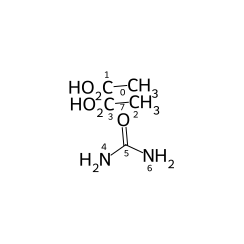 CC(=O)O.CC(=O)O.NC(N)=O